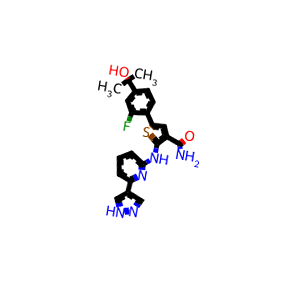 CC(C)(O)c1ccc(-c2cc(C(N)=O)c(Nc3cccc(-c4cn[nH]c4)n3)s2)c(F)c1